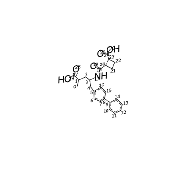 CC(CC(Cc1ccc(-c2ccccc2)cc1)NC(=O)C1CCC1C(=O)O)C(=O)O